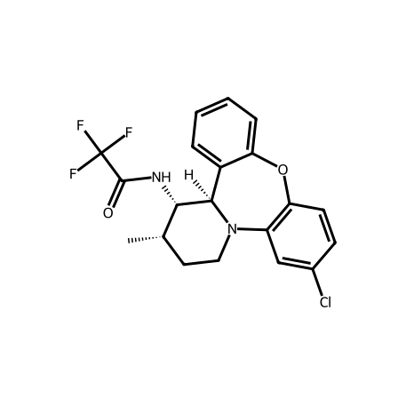 C[C@H]1CCN2c3cc(Cl)ccc3Oc3ccccc3[C@@H]2[C@H]1NC(=O)C(F)(F)F